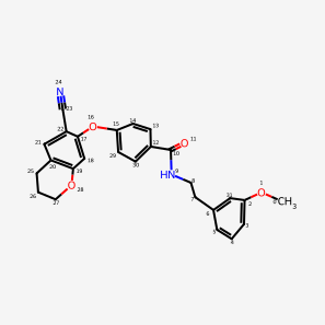 COc1cccc(CCNC(=O)c2ccc(Oc3cc4c(cc3C#N)CCCO4)cc2)c1